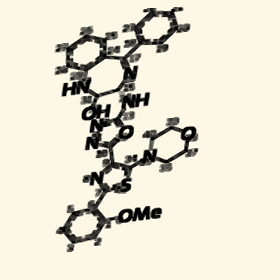 COc1ccccc1-c1nc(-c2nnc(N[C@H]3N=C(c4ccccc4)c4ccccc4NC3O)o2)c(N2CCOCC2)s1